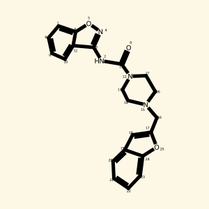 O=C(Nc1noc2ccccc12)N1CCN(Cc2cc3ccccc3o2)CC1